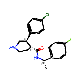 C[C@H](NC(=O)[C@@H]1CNC[C@H]1c1ccc(Cl)cc1)c1ccc(F)cc1